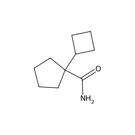 NC(=O)C1(C2CCC2)CCCC1